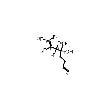 C=CCCC(O)(C(F)(F)F)C(F)(F)C(F)=C(F)F